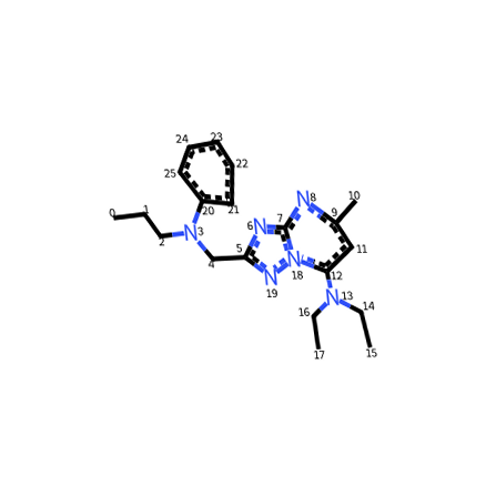 CCCN(Cc1nc2nc(C)cc(N(CC)CC)n2n1)c1ccccc1